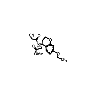 COC(=O)C[C@@]1(NC(=O)CC#N)CCOc2cc(OCC(F)(F)F)ccc21